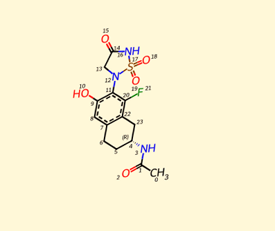 CC(=O)N[C@@H]1CCc2cc(O)c(N3CC(=O)NS3(=O)=O)c(F)c2C1